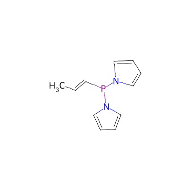 CC=CP(n1cccc1)n1cccc1